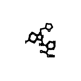 COC(=O)c1ccncc1Nc1nn(CC2CCCO2)c2ccc(F)cc12